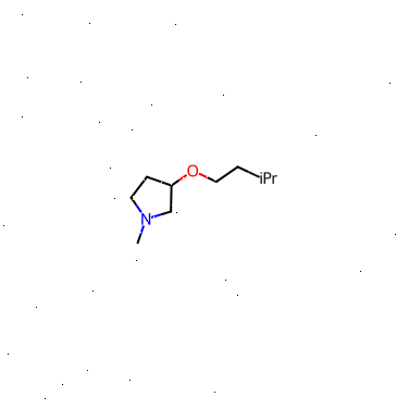 CC(C)CCOC1CCN(C)C1